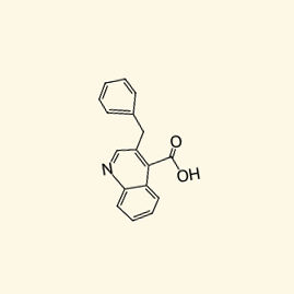 O=C(O)c1c(Cc2ccccc2)cnc2ccccc12